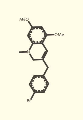 COc1cc(OC)c2c(c1)N(C)CC(Cc1ccc(Br)cc1)=C2